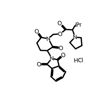 CC(C)C(C(=O)OCN1C(=O)CCC(N2C(=O)c3ccccc3C2=O)C1=O)N1CCCC1.Cl